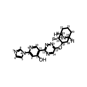 Oc1cc(-n2ccnc2)ncc1-c1ncc(O[C@@H]2C[C@H]3CCC[C@H](N3)[C@H]2F)nn1